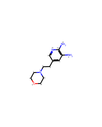 Nc1cc(CCN2CCOCC2)cnc1N